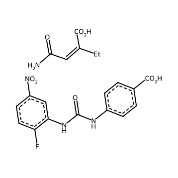 CCC(=CC(N)=O)C(=O)O.O=C(Nc1ccc(C(=O)O)cc1)Nc1cc([N+](=O)[O-])ccc1F